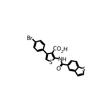 O=C(Nc1scc(-c2ccc(Br)cc2)c1C(=O)O)c1ccc2sccc2c1